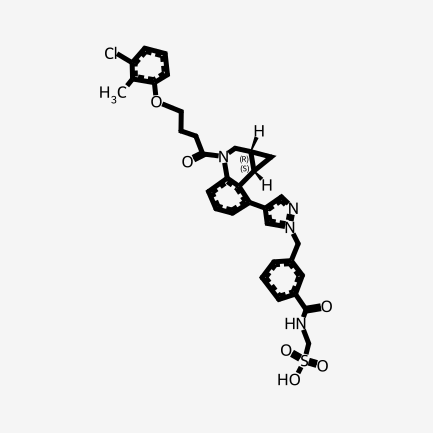 Cc1c(Cl)cccc1OCCCC(=O)N1C[C@@H]2C[C@@H]2c2c(-c3cnn(Cc4cccc(C(=O)NCS(=O)(=O)O)c4)c3)cccc21